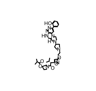 CC(C)C(=O)O[C@@H]1CCN(C(=O)[C@@H](c2cc(OCCN3CCC(N4CCN5c6cc(-c7ccccc7O)nnc6NC[C@H]5C4)CC3)no2)C(C)C)C1